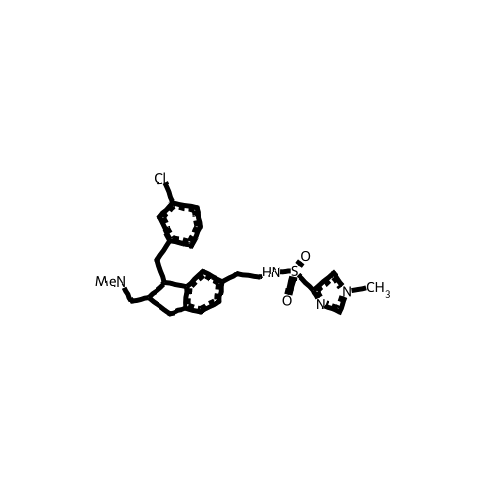 CNCC1Cc2ccc(CCNS(=O)(=O)c3cn(C)cn3)cc2C1Cc1cccc(Cl)c1